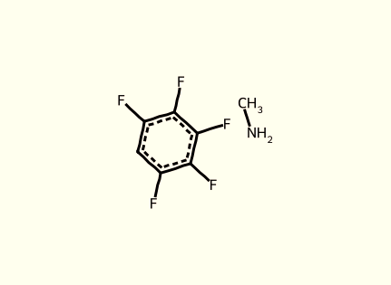 CN.Fc1cc(F)c(F)c(F)c1F